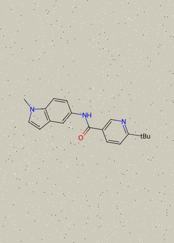 Cn1ccc2cc(NC(=O)c3ccc(C(C)(C)C)nc3)ccc21